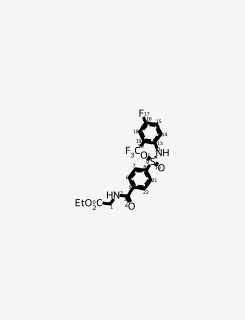 CCOC(=O)CNC(=O)c1ccc(S(=O)(=O)Nc2ccc(F)cc2C(F)(F)F)cc1